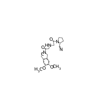 COc1cc2c(cc1OC)CN(C(=O)CNCC(=O)N1CCCC1C#N)CC2